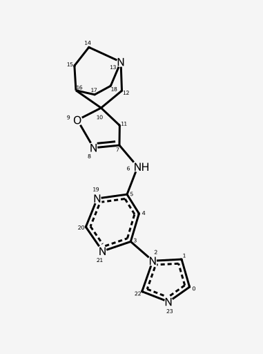 c1cn(-c2cc(NC3=NOC4(C3)CN3CCC4CC3)ncn2)cn1